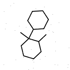 CC1CCCCC1(C)C1CCCCC1